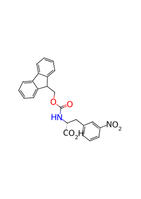 O=C(N[C@H](Cc1cccc([N+](=O)[O-])c1)C(=O)O)OCC1c2ccccc2-c2ccccc21